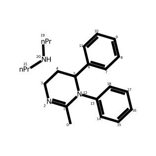 CC1=NCCC(c2ccccc2)N1c1ccccc1.CCCNCCC